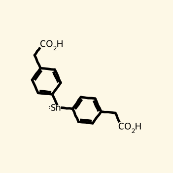 O=C(O)Cc1cc[c]([Sn][c]2ccc(CC(=O)O)cc2)cc1